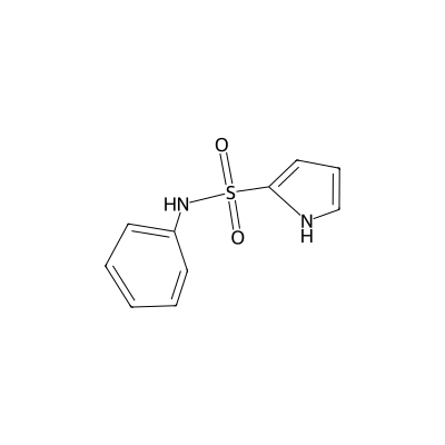 O=S(=O)(Nc1ccccc1)c1ccc[nH]1